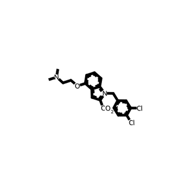 CN(C)CCOc1cccc2c1cc(C(=O)O)n2Cc1ccc(Cl)c(Cl)c1